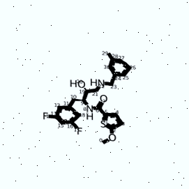 COc1ccc(C(=O)N[C@@H](Cc2cc(F)cc(F)c2)[C@H](O)CNCc2cccc(C)c2)s1